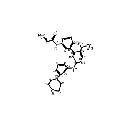 C=CC(=O)Nc1ccc(Cl)c(C2=NC(Nc3cccc(N4CCOCC4)c3)NC=C2OC(F)(F)F)c1